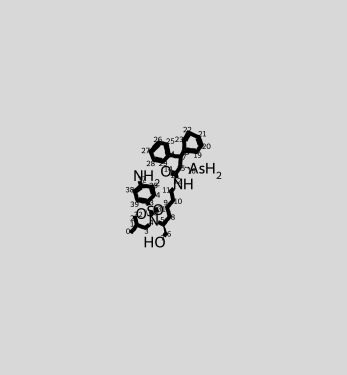 CC(C)CN([C@H](CO)CCCCNC(=O)[C@@H]([AsH2])C(c1ccccc1)c1ccccc1)S(=O)(=O)c1ccc(N)cc1